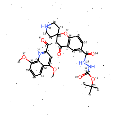 COc1cc(C(=O)[C@H]2C(=O)c3cc(C(=O)NNC(=O)OC(C)(C)C)ccc3OC23CCNCC3)nc2c(OC)cccc12